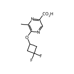 Cc1nc(C(=O)O)cnc1OC1CC(F)(F)C1